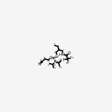 CCC(CNC(=O)C(F)(F)F)COP(OCCC#N)N(C(C)C)C(C)C